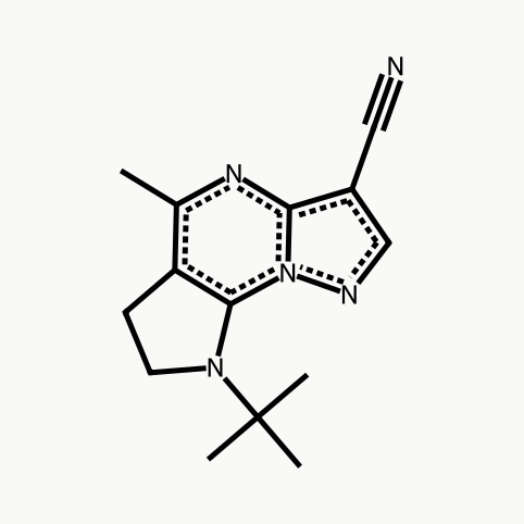 Cc1nc2c(C#N)cnn2c2c1CCN2C(C)(C)C